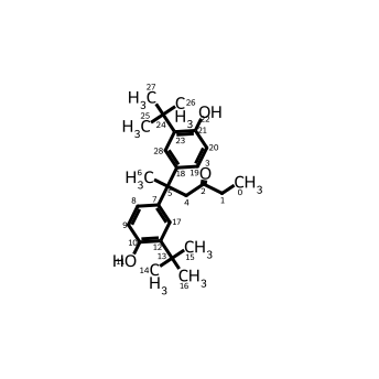 CCC(=O)CC(C)(c1ccc(O)c(C(C)(C)C)c1)c1ccc(O)c(C(C)(C)C)c1